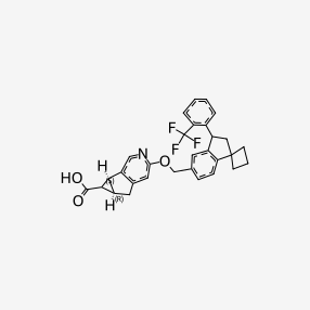 O=C(O)C1[C@H]2c3cnc(OCc4ccc5c(c4)C(c4ccccc4C(F)(F)F)CC54CCC4)cc3C[C@@H]12